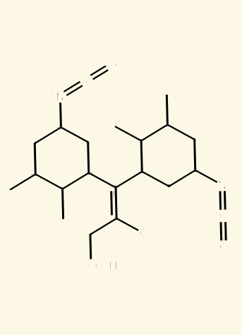 CC1CC(N=C=O)CC(C(=C(CC(=O)O)C(=O)O)C2CC(N=C=O)CC(C)C2C)C1C